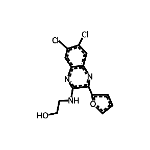 OCCNc1nc2cc(Cl)c(Cl)cc2nc1-c1ccco1